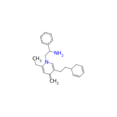 C=C1C=C(CC)N(CC(N)c2ccccc2)C=C1CCC1C=CC=CC1